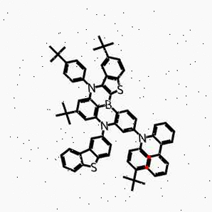 CC(C)(C)c1ccc(N(c2ccc3c(c2)N(c2ccc4sc5ccccc5c4c2)c2cc(C(C)(C)C)cc4c2B3c2sc3ccc(C(C)(C)C)cc3c2N4c2ccc(C(C)(C)C)cc2)c2ccccc2-c2ccccc2)cc1